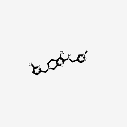 Cn1cc(CNc2sc3c(c2C#N)CCN(Cc2ccc(Cl)s2)C3)cn1